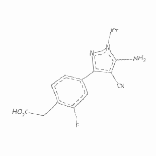 CC(C)n1nc(-c2ccc(CC(=O)O)c(F)c2)c(C#N)c1N